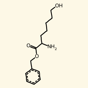 NC(CCCCCO)C(=O)OCc1ccccc1